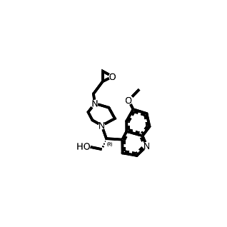 COc1ccc2nccc([C@H](CO)N3CCN(CC4CO4)CC3)c2c1